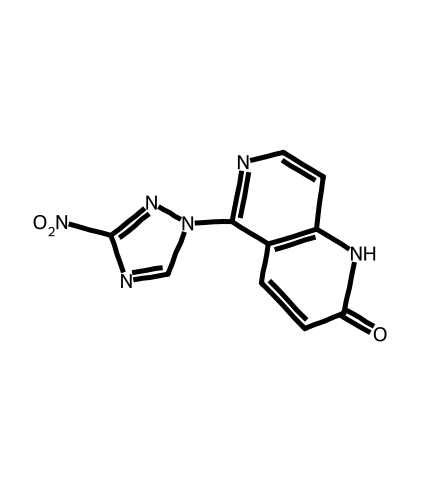 O=c1ccc2c(-n3cnc([N+](=O)[O-])n3)nccc2[nH]1